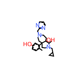 Cc1ccc(O)cc1C12CCN(Cc3ncccn3)CCC1(O)C(C)N(CC1CC1)CC2